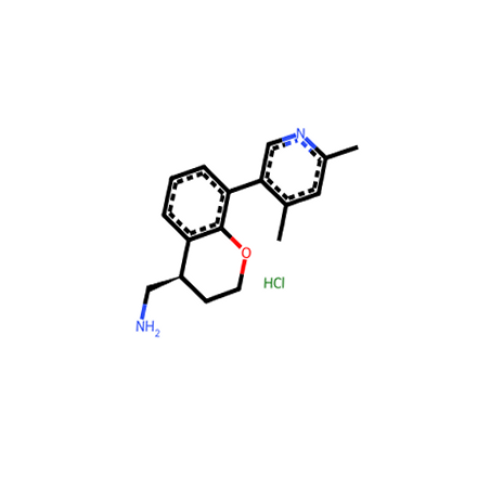 Cc1cc(C)c(-c2cccc3c2OCC[C@H]3CN)cn1.Cl